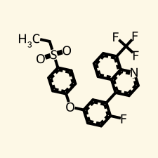 CCS(=O)(=O)c1ccc(Oc2ccc(F)c(-c3ccnc4c(C(F)(F)F)cccc34)c2)cc1